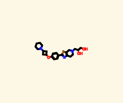 OC[C@H](O)CN1CCc2nc(-c3ccc(OC4CC(N5CCCCC5)C4)cc3)sc2C1